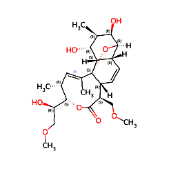 COC[C@@H](O)[C@H]1OC(=O)[C@H](COC)[C@H]2C=C[C@H]3[C@H]4O[C@]2(/C(C)=C/[C@H]1C)[C@@H]3[C@H](O)[C@@H](C)[C@H]4O